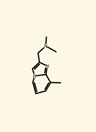 Cc1cccn2cc(CN(C)C)nc12